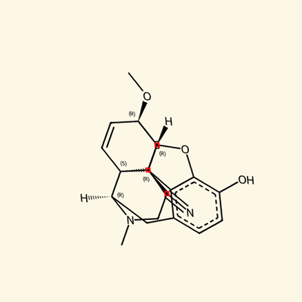 CO[C@]12C=C[C@@]3(C(C#N)S1)[C@H]1Cc4ccc(O)c5c4[C@@]3(CCN1C)[C@H]2O5